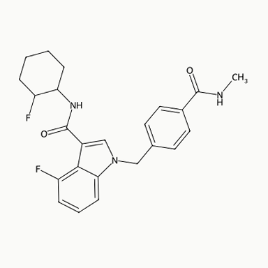 CNC(=O)c1ccc(Cn2cc(C(=O)NC3CCCCC3F)c3c(F)cccc32)cc1